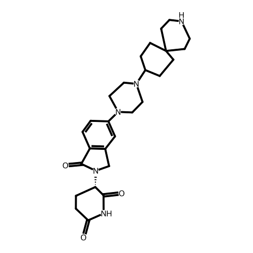 O=C1CC[C@H](N2Cc3cc(N4CCN(C5CCC6(CCNCC6)CC5)CC4)ccc3C2=O)C(=O)N1